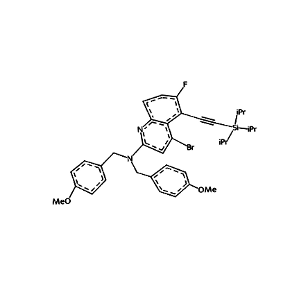 COc1ccc(CN(Cc2ccc(OC)cc2)c2cc(Br)c3c(C#C[Si](C(C)C)(C(C)C)C(C)C)c(F)ccc3n2)cc1